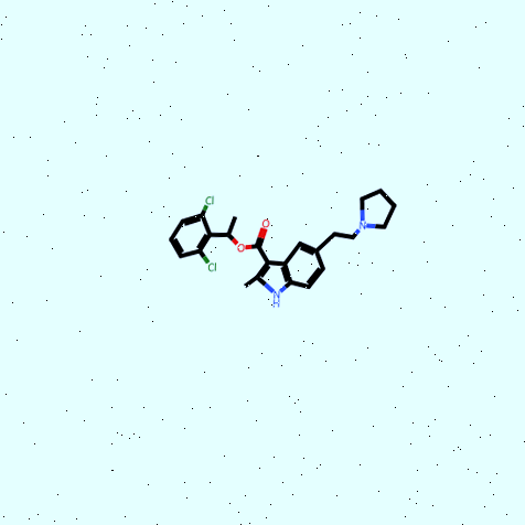 Cc1[nH]c2ccc(CCN3CCCC3)cc2c1C(=O)OC(C)c1c(Cl)cccc1Cl